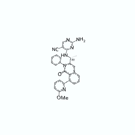 COc1cccc(-c2cccc3cc([C@@H](C)Nc4nc(N)ncc4C#N)n(-c4ccccc4)c(=O)c23)n1